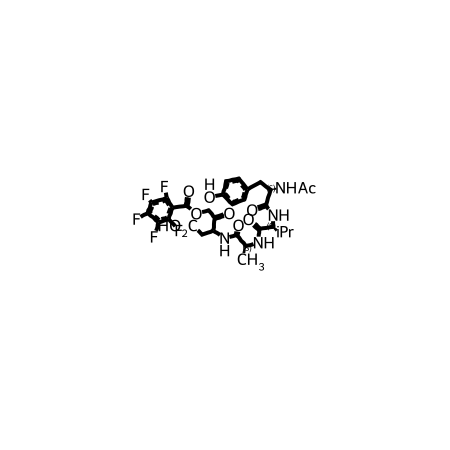 CC(=O)N[C@@H](Cc1ccc(O)cc1)C(=O)N[C@H](C(=O)N[C@@H](C)C(=O)NC(CC(=O)O)C(=O)COC(=O)c1c(F)c(F)c(F)c(F)c1F)C(C)C